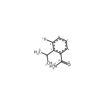 CC(C)c1c(F)cccc1C(N)=O